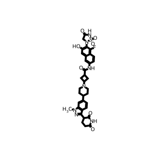 Cn1nc(C2CCC(=O)NC2=O)c2ccc(C3CCN(C4CC(C(=O)Nc5ccc6c(F)c(N7CC(=O)NS7(=O)=O)c(O)cc6c5)C4)CC3)cc21